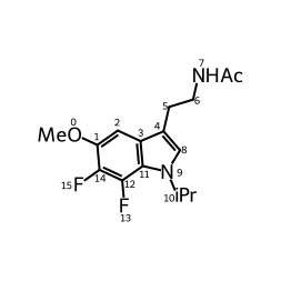 COc1cc2c(CCNC(C)=O)cn(C(C)C)c2c(F)c1F